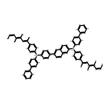 C\C=C/C(C)=C(C)/C=C(\C)c1ccc(N(c2ccc(-c3ccccc3)cc2)c2ccc(-c3ccc4cc(N(c5ccc(/C(C)=C/C(C)=C(C)/C=C\C)cc5)c5ccc(-c6ccccc6)cc5)ccc4c3)cc2)cc1